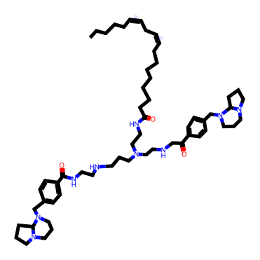 CCCCC/C=C\C/C=C\CCCCCCCC(=O)NCCN(CCCNCCNC(=O)c1ccc(CN2CCCN3CCCC32)cc1)CCNCC(=O)c1ccc(CN2CCCN3CCCC32)cc1